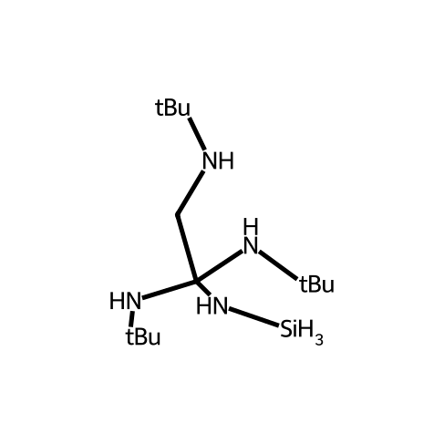 CC(C)(C)NCC(N[SiH3])(NC(C)(C)C)NC(C)(C)C